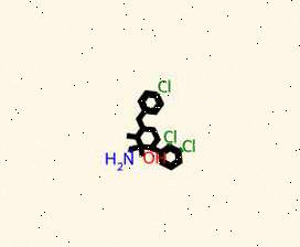 CC1C(Cc2ccc(Cl)cc2)CCC(O)(c2cccc(Cl)c2Cl)C1(C)CN